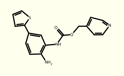 Nc1ccc(-c2cccs2)cc1NC(=O)OCc1ccncc1